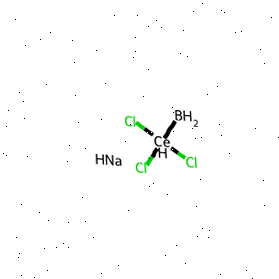 [BH2][CeH]([Cl])([Cl])[Cl].[NaH]